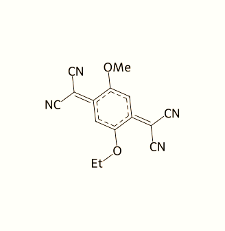 CCOc1cc(=C(C#N)C#N)c(OC)cc1=C(C#N)C#N